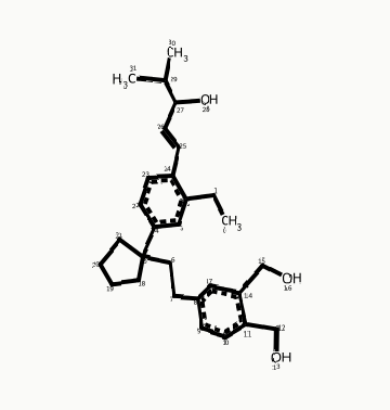 CCc1cc(C2(CCc3ccc(CO)c(CO)c3)CCCC2)ccc1C=CC(O)C(C)C